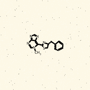 Cn1cnc2ncnc-2c1C1=NC(Cc2ccccc2)CS1